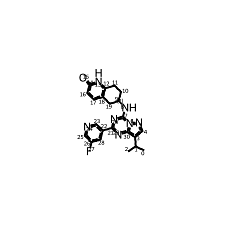 CC(C)c1cnn2c(N[C@@H]3CCc4[nH]c(=O)ccc4C3)nc(-c3cncc(F)c3)nc12